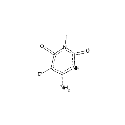 Cn1c(=O)[nH]c(N)c(Cl)c1=O